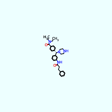 CCN(CC)C(=O)c1ccc([C@@H](c2cccc(NC(=O)CCc3ccccc3)c2)N2CCNCC2)cc1